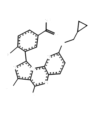 Cc1nc(-c2cc(C(N)=O)ccc2F)n2c1c(C)nc1ccc(OCC3CC3)nc12